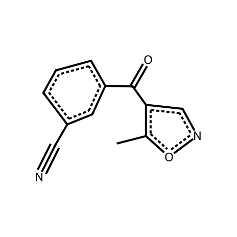 Cc1oncc1C(=O)c1cccc(C#N)c1